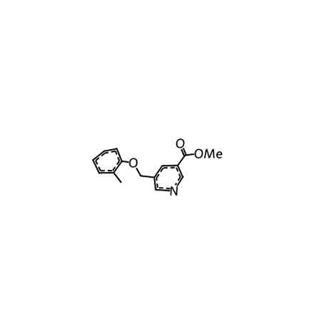 COC(=O)c1cncc(COc2ccccc2C)c1